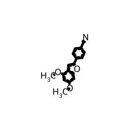 COc1cc(OC)c2cc(-c3ccc(C#N)cc3)oc2c1